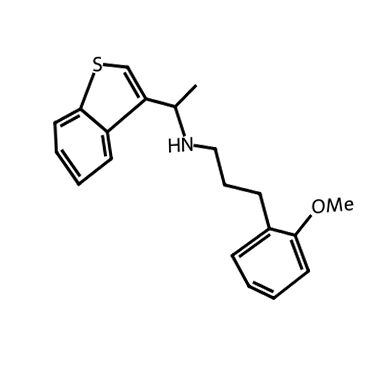 COc1ccccc1CCCNC(C)c1csc2ccccc12